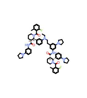 CCN(CCc1cc(NC(=O)[C@H]2CCCN(C(=O)c3c(C)cccc3F)[C@H]2c2cccc(N3CCCC3)c2)cc(N2CCCC2)c1)c1cccc([C@H]2[C@@H](C(=O)Nc3cccc(N4CCCC4)c3)CCCN2C(=O)c2c(C)cccc2F)c1